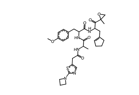 COc1ccc(CC(NC(=O)C(C)NC(=O)Cc2cnc(N3CCC3)s2)C(=O)NC(CC2=CCCC2)C(=O)C2(C)CO2)cc1